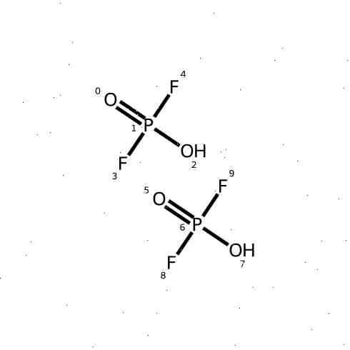 O=P(O)(F)F.O=P(O)(F)F